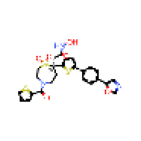 O=C(C[C@]1(c2ccc(-c3ccc(-c4cnco4)cc3)s2)CCN(C(=O)c2cccs2)CCS1(=O)=O)NO